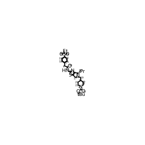 CCS(=O)(=O)c1ccc(CC(=O)Nc2nc3c(s2)CN(CC2CCN(C(=O)OC(C)(C)C)CC2)[C@H]3C(C)C)cc1